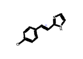 Clc1ccc(/C=C/c2ncc[nH]2)cc1